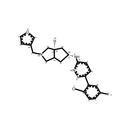 Fc1ccc(Cl)c(-c2ccc(N[C@@H]3CC4CN(Cc5ccoc5)C[C@H]4C3)nn2)c1